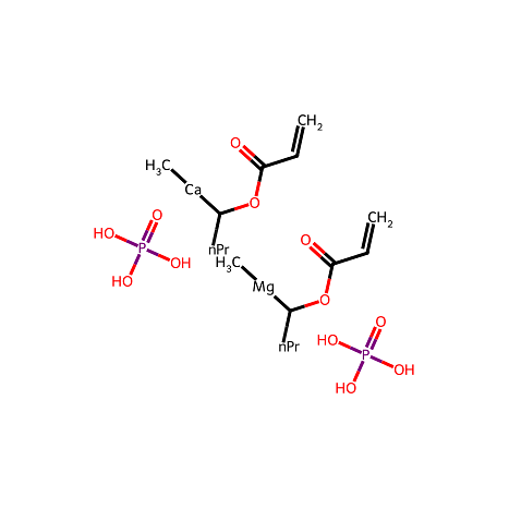 C=CC(=O)O[CH](CCC)[Ca][CH3].C=CC(=O)O[CH](CCC)[Mg][CH3].O=P(O)(O)O.O=P(O)(O)O